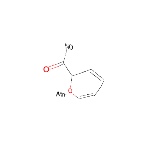 O=NC(=O)C1C=CC=CO1.[Mn]